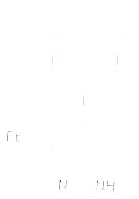 CCc1n[nH]cc1-c1c[c]ccc1